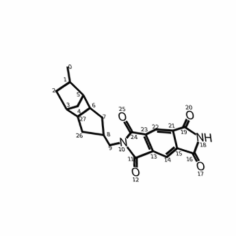 CC1CC2CC1C1CC(Cn3c(=O)c4cc5c(=O)[nH]c(=O)c5cc4c3=O)CC21